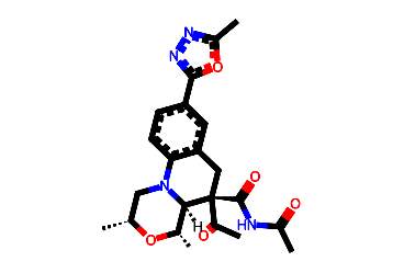 CC(=O)NC(=O)[C@]1(C(C)=O)Cc2cc(-c3nnc(C)o3)ccc2N2C[C@@H](C)O[C@@H](C)[C@@H]21